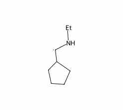 CCN[CH]C1CCCC1